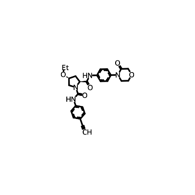 C#Cc1ccc(NC(=O)N2C[C@H](OCC)C[C@H]2C(=O)Nc2ccc(N3CCOCC3=O)cc2)cc1